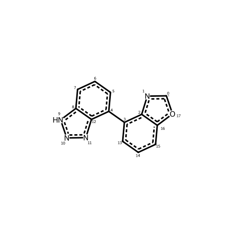 [c]1nc2c(-c3cccc4[nH]nnc34)cccc2o1